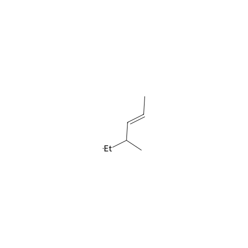 C[CH]C(C)/C=C/C